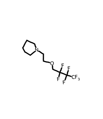 FC(F)(F)C(F)(F)C(F)(F)COCCN1CCCCC1